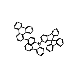 c1ccc(-c2ccccc2N(c2ccc(-c3cccc4c5ccccc5c5ccccc5c34)cc2)c2ccc3c(c2)C2(c4ccccc4-c4ccccc42)c2ccccc2-3)cc1